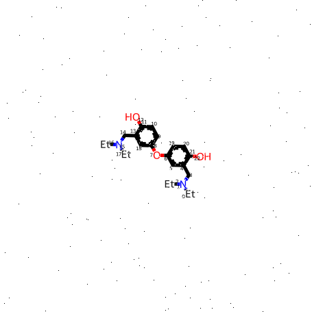 CCN(CC)Cc1cc(Oc2ccc(O)c(CN(CC)CC)c2)ccc1O